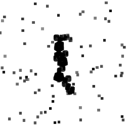 C[Si](C)(C)CCOC(=O)c1cccc(COc2ccc3c(=O)c(-c4ccc(C(N)=O)cc4)coc3c2)c1